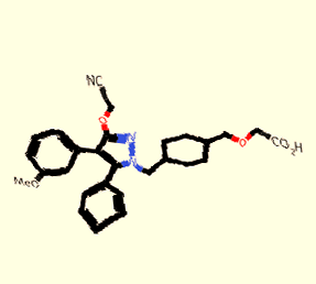 COc1cccc(-c2c(OCC#N)nn(CC3CCC(COCC(=O)O)CC3)c2-c2ccccc2)c1